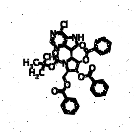 CC(C)(C)OC(=O)N1[C@H](COC(=O)c2ccccc2)[C@@H](OC(=O)c2ccccc2)[C@@H](OC(=O)c2ccccc2)[C@@H]1C1CNc2c(Cl)ncnc21